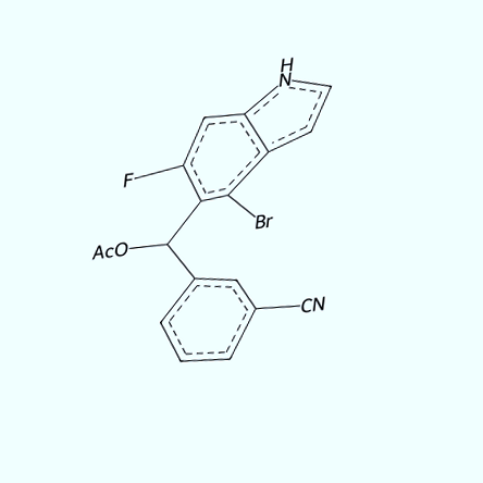 CC(=O)OC(c1cccc(C#N)c1)c1c(F)cc2[nH]ccc2c1Br